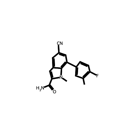 Cc1cc(-c2cc(C#N)cc3cc(C(N)=O)n(C)c23)ccc1F